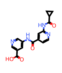 O=C(O)c1cncc(NC(=O)c2ccnc(NC(=O)C3CC3)c2)c1